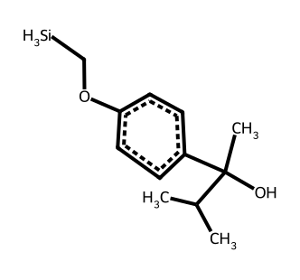 CC(C)C(C)(O)c1ccc(OC[SiH3])cc1